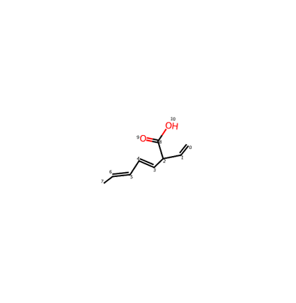 C=CC(/C=C/C=C/C)C(=O)O